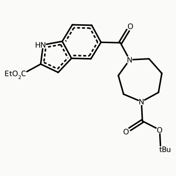 CCOC(=O)c1cc2cc(C(=O)N3CCCN(C(=O)OC(C)(C)C)CC3)ccc2[nH]1